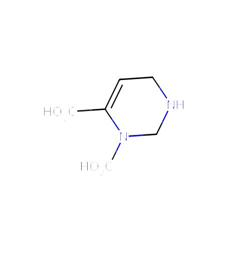 O=C(O)C1=CCNCN1C(=O)O